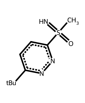 CC(C)(C)c1ccc(S(C)(=N)=O)nn1